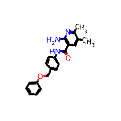 Cc1cc(C(=O)Nc2ccc(COc3ccccc3)cc2)c(N)nc1C